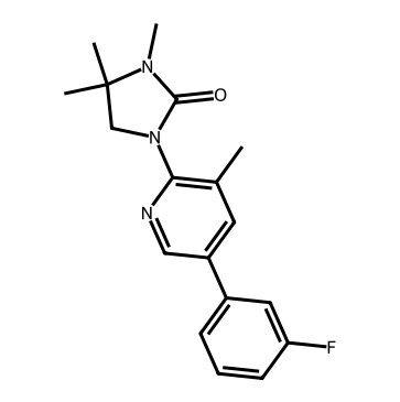 Cc1cc(-c2cccc(F)c2)cnc1N1CC(C)(C)N(C)C1=O